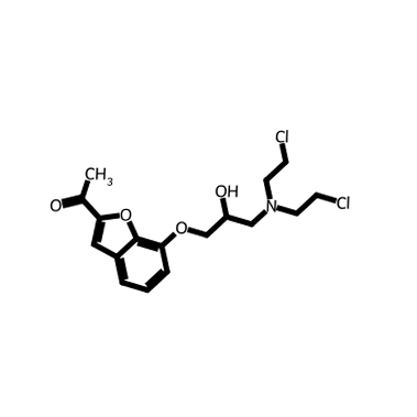 CC(=O)c1cc2cccc(OCC(O)CN(CCCl)CCCl)c2o1